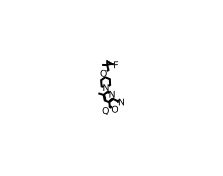 COC(=O)c1cc(C)c(N2CCC(OCC3(C)CC3F)CC2)nc1C#N